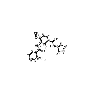 Cn1nnnc1NC(=O)c1ccc(OC(F)(F)F)c(NC(=O)c2ccncc2C(F)(F)F)c1Cl